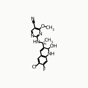 COc1nc(N[C@H](C)C2=Cc3cc(Cl)c(F)cc3NC2O)ncc1C#N